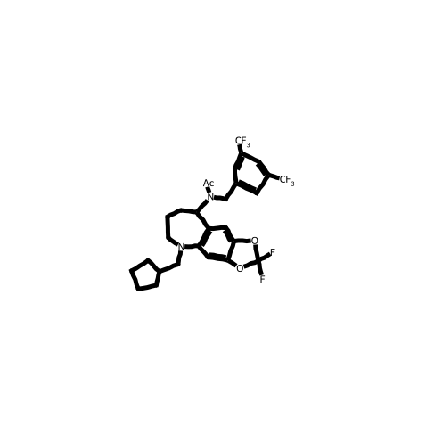 CC(=O)N(Cc1cc(C(F)(F)F)cc(C(F)(F)F)c1)C1CCCN(CC2CCCC2)c2cc3c(cc21)OC(F)(F)O3